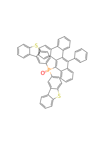 O=P(c1ccc2sc3ccccc3c2c1)(c1ccc2sc3ccccc3c2c1)c1c2ccccc2c(-c2ccccc2)c2c3ccccc3c3ccccc3c12